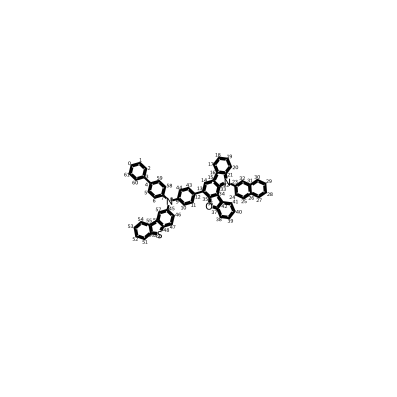 c1ccc(-c2ccc(N(c3ccc(-c4cc5c6ccccc6n(-c6ccc7ccccc7c6)c5c5c4oc4ccccc45)cc3)c3ccc4sc5ccccc5c4c3)cc2)cc1